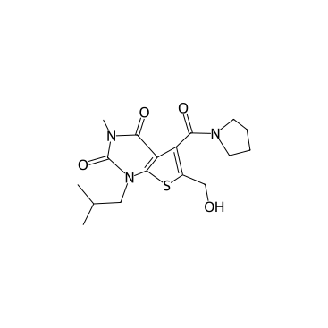 CC(C)Cn1c(=O)n(C)c(=O)c2c(C(=O)N3CCCC3)c(CO)sc21